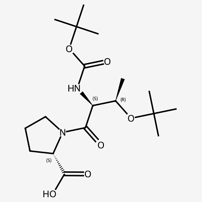 C[C@@H](OC(C)(C)C)[C@H](NC(=O)OC(C)(C)C)C(=O)N1CCC[C@H]1C(=O)O